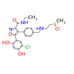 CCNC(=O)c1noc(-c2cc(Cl)c(O)cc2O)c1-c1ccc(CNCC[S+](C)[O-])cc1